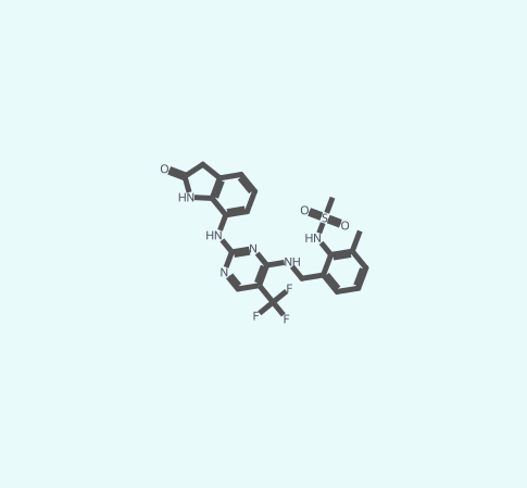 Cc1cccc(CNc2nc(Nc3cccc4c3NC(=O)C4)ncc2C(F)(F)F)c1NS(C)(=O)=O